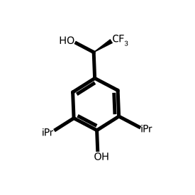 CC(C)c1cc([C@@H](O)C(F)(F)F)cc(C(C)C)c1O